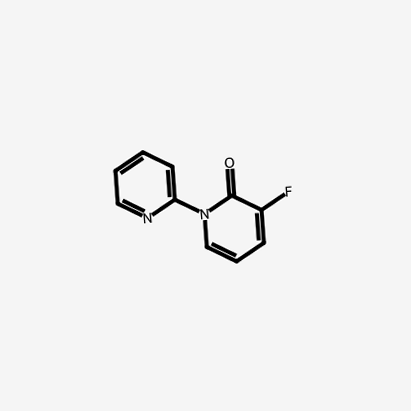 O=c1c(F)cccn1-c1ccccn1